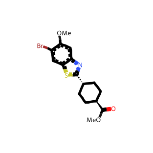 COc1cc2nc([C@H]3CC[C@H](C(=O)OC)CC3)sc2cc1Br